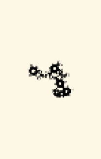 CCOc1nc2c(CC)ccc(C(=O)OOC(=O)OC3CCCCC3)c2n1Cc1ccc(-c2ccccc2-c2nnn[nH]2)cc1